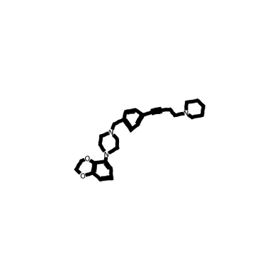 C(#Cc1ccc(CN2CCN(c3cccc4c3OCCO4)CC2)cc1)CCN1CCCCC1